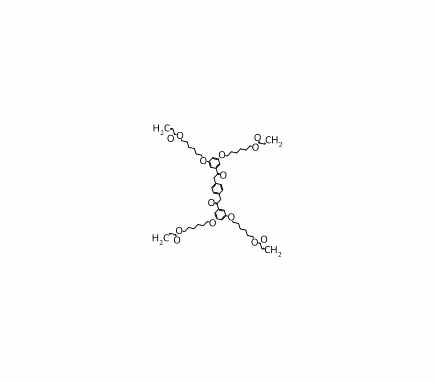 C=CC(=O)OCCCCCCOc1cc(OCCCCCCOC(=O)C=C)cc(C(=O)Cc2ccc(CC(=O)c3cc(OCCCCCCOC(=O)C=C)cc(OCCCCCCOC(=O)C=C)c3)cc2)c1